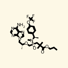 CCCOC(=O)C(C)(C)CP(=O)(CO[C@H](C)Cn1cnc2c(N)ncnc21)N(C)[C@H](C)c1ccc(OC(F)(F)F)cc1